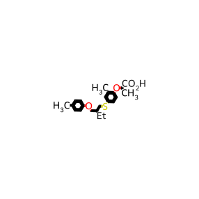 CCC(COc1ccc(C)cc1)CSc1ccc(OC(C)C(=O)O)c(C)c1